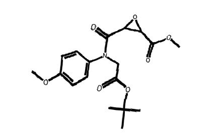 COC(=O)C1OC1C(=O)N(CC(=O)OC(C)(C)C)c1ccc(OC)cc1